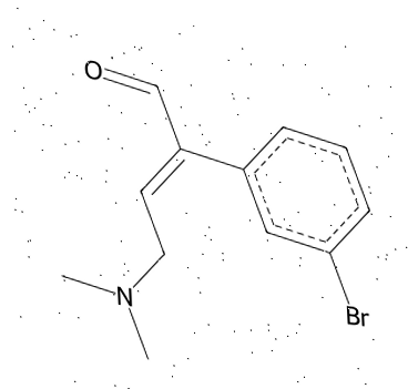 CN(C)C/C=C(/C=O)c1cccc(Br)c1